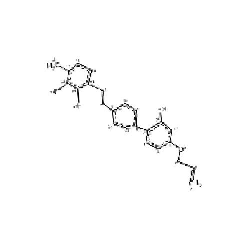 C=CCOc1ccc(-c2ccc(CCc3ccc(C)c(F)c3F)cc2)c(F)c1